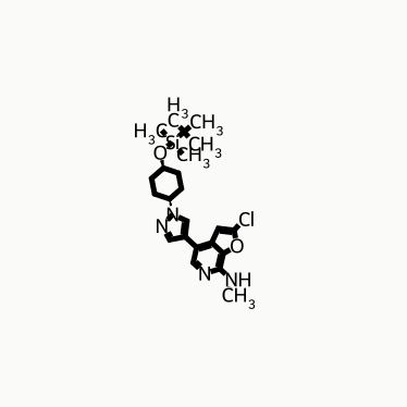 CNc1ncc(-c2cnn([C@H]3CC[C@H](O[Si](C)(C)C(C)(C)C)CC3)c2)c2cc(Cl)oc12